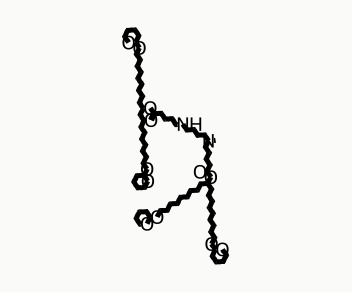 CN(CCCCNCCCCC(=O)OC(CCCCCCCCCOC1CCCCO1)CCCCCCCCCOC1CCCCO1)CCCCC(=O)OC(CCCCCCCCCOC1CCCCO1)CCCCCCCCCOC1CCCCO1